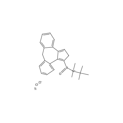 CC(C)(C)[N+](C)(C)[Si](=O)C1=C2C(=CC1)c1ccccc1Cc1ccccc12.[Cl-].[Cl-].[Ti]